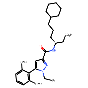 COc1cccc(OC)c1-c1cc(C(=O)N[C@@H](CCCC2CCCCC2)CC(=O)O)nn1CC(C)C